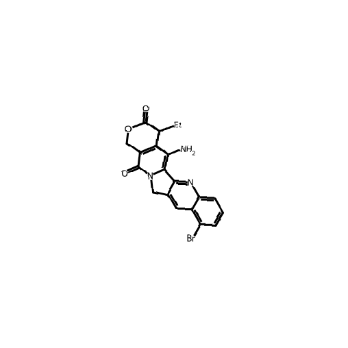 CC[C]1C(=O)OCc2c1c(N)c1n(c2=O)Cc2cc3c(Br)cccc3nc2-1